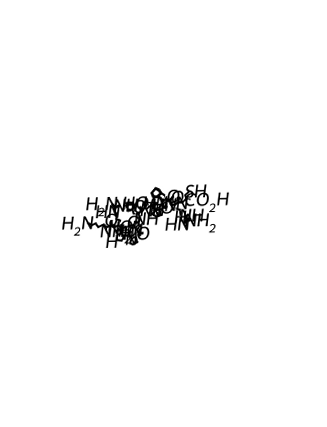 N=C(N)NCCC[C@H](NC(=O)[C@H](Cc1ccccc1)NC(=O)[C@@H]1CCCN1C(=O)[C@H](CO)NC(=O)[C@H](Cc1ccccc1)NC(=O)CNC(=O)[C@@H]1CCCN1C(=O)[C@@H]1CCCN1C(=O)[C@H](CCCNC(=N)N)NC(=O)[C@@H](N)CCCCN)C(=O)N[C@@H](CS)C(=O)O